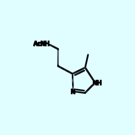 CC(=O)NCCc1nc[nH]c1C